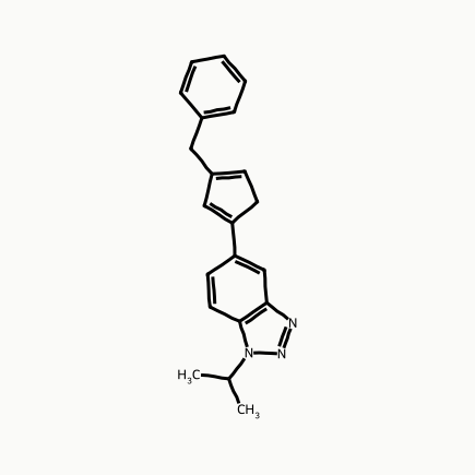 CC(C)n1nnc2cc(C3=CC(Cc4ccccc4)=CC3)ccc21